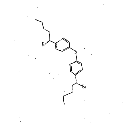 CCCCC(Br)c1ccc(Sc2ccc(C(Br)CCCC)cc2)cc1